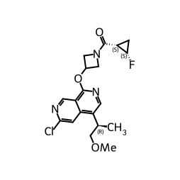 COC[C@H](C)c1cnc(OC2CN(C(=O)[C@@H]3C[C@@H]3F)C2)c2cnc(Cl)cc12